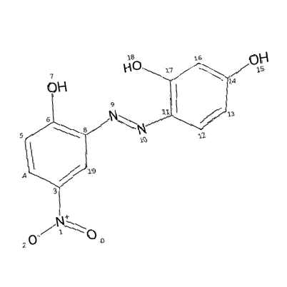 O=[N+]([O-])c1ccc(O)c(N=Nc2ccc(O)cc2O)c1